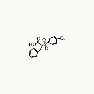 COc1ccc(S(=O)(=O)C(Cc2ccccc2)C(=O)O)cc1